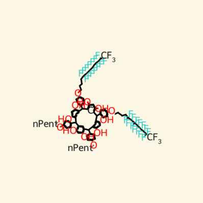 CCCCCOc1ccc(C2c3cc(c(O)cc3O)C(c3ccc(OCCCCC)cc3)c3cc(c(O)cc3O)C(c3ccc(OCCCCC(F)(F)C(F)(F)C(F)(F)C(F)(F)C(F)(F)C(F)(F)C(F)(F)C(F)(F)F)cc3)c3cc(c(O)cc3O)C(c3ccc(OCCCCC(F)(F)C(F)(F)C(F)(F)C(F)(F)C(F)(F)C(F)(F)C(F)(F)C(F)(F)F)cc3)c3cc2c(O)cc3O)cc1